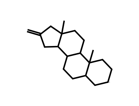 C=C1CC2C3CCC4C[CH]CCC4(C)C3CCC2(C)C1